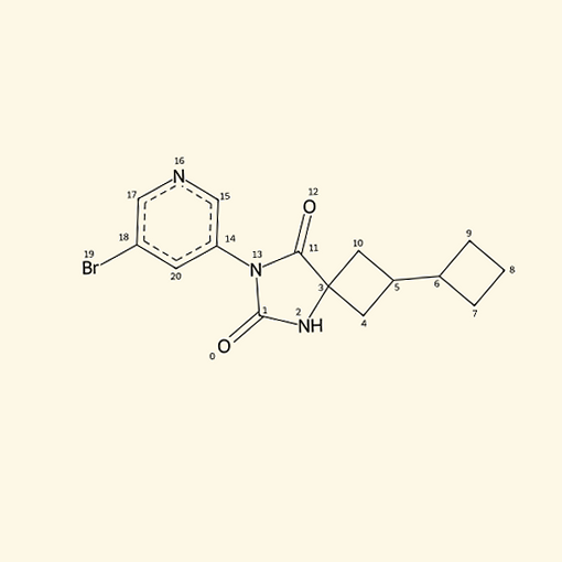 O=C1NC2(CC(C3CCC3)C2)C(=O)N1c1cncc(Br)c1